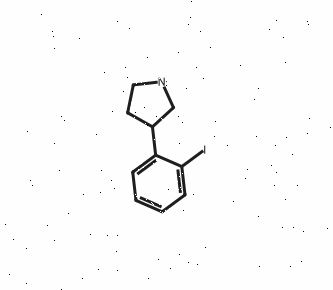 Ic1ccccc1C1CC[N]C1